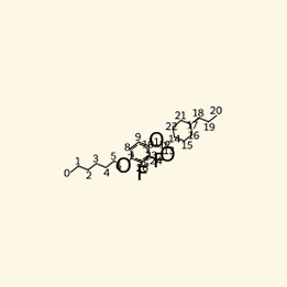 CCCCCCOc1ccc(OC(=O)[C@H]2CC[C@H](CCC)CC2)c(F)c1F